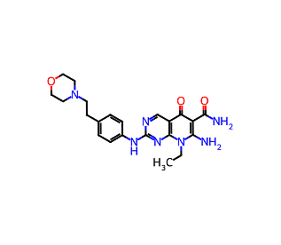 CCn1c(N)c(C(N)=O)c(=O)c2cnc(Nc3ccc(CCN4CCOCC4)cc3)nc21